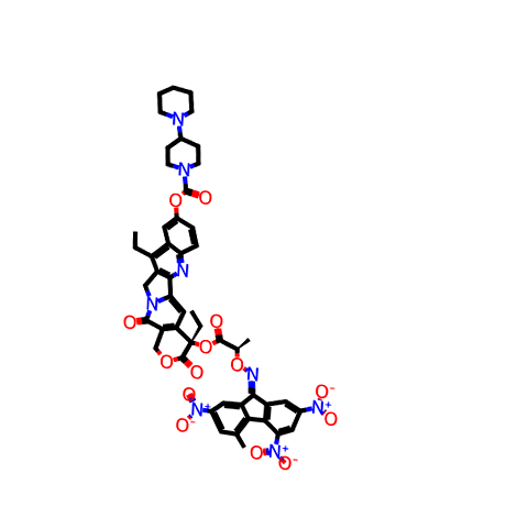 CCc1c2c(nc3ccc(OC(=O)N4CCC(N5CCCCC5)CC4)cc13)-c1cc3c(c(=O)n1C2)COC(=O)[C@@]3(CC)OC(=O)[C@@H](C)O/N=C1\c2cc([N+](=O)[O-])cc(C)c2-c2c1cc([N+](=O)[O-])cc2[N+](=O)[O-]